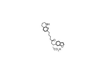 O=C(O)C[C@H](CC(=O)CCCCc1ccc2c(n1)NCCC2)c1ccc2ccoc2c1